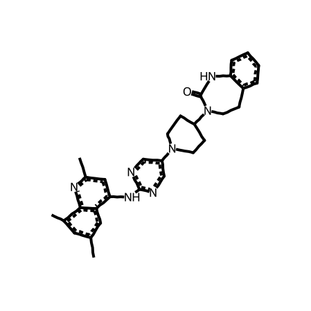 Cc1cc(C)c2nc(C)cc(Nc3ncc(N4CCC(N5CCc6ccccc6NC5=O)CC4)cn3)c2c1